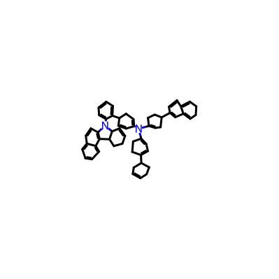 C1=CCC(C2=CC=C(N(C3=CCC(c4ccccc4N4c5ccc6ccccc6c5C5CCC=CC54)C=C3)C3=CCC(c4ccc5c(c4)=CCCC=5)CC3)CC2)CC1